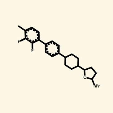 CCCC1CCC(C2CCC(c3ccc(-c4ccc(C)c(F)c4F)cc3)CC2)O1